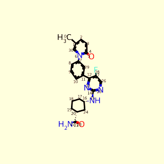 Cc1ccc(=O)n(-c2cccc(-c3nc(N[C@H]4CCC[C@@H](C(N)=O)C4)ncc3F)c2)c1